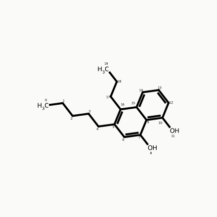 CCCCCc1cc(O)c2c(O)cccc2c1CCC